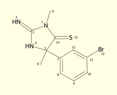 CN1C(=N)NC(C)(c2cccc(Br)c2)C1=S